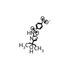 CCC(O)(CC)c1csc(NS(=O)(=O)c2ccc([N+](=O)[O-])cc2)n1